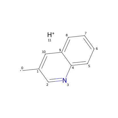 [CH2]c1cnc2ccccc2c1.[H+]